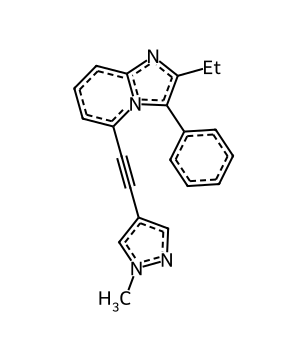 CCc1nc2cccc(C#Cc3cnn(C)c3)n2c1-c1ccccc1